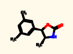 Cc1cc(C)cc([C@H]2OC(=O)N[C@H]2C)c1